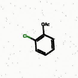 CC(=O)Oc1[c]cccc1Cl